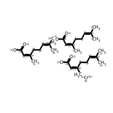 CC(C)=CCC/C(C)=C\C(=O)[O-].CC(C)=CCC/C(C)=C\C(=O)[O-].CC(C)=CCC/C(C)=C\C(=O)[O-].[Cr+3]